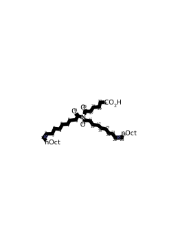 CCCCCCCC/C=C\CCCCCCCC(=O)N(C(=O)CCCCCCC/C=C\CCCCCCCC)C(=O)CCCCC(=O)O